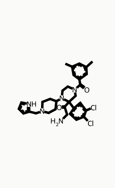 Cc1cc(C)cc(C(=O)N2CCN(C3CCN(Cc4ccc[nH]4)CC3)C(C(=O)CN)(c3ccc(Cl)c(Cl)c3)C2)c1